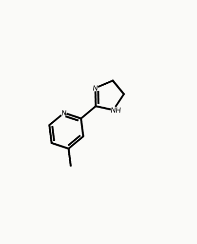 Cc1ccnc(C2=NCCN2)c1